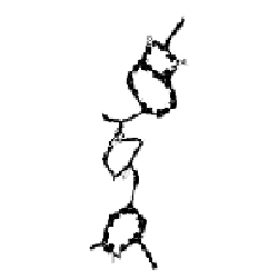 Cc1cc(C[C@H]2CCN(C(C)c3ccc4nc(C)sc4c3)C2)cc(C)n1